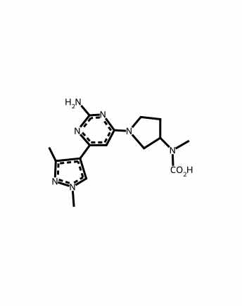 Cc1nn(C)cc1-c1cc(N2CCC(N(C)C(=O)O)C2)nc(N)n1